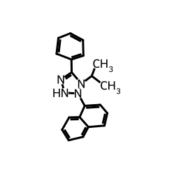 CC(C)N1C(c2ccccc2)=NNN1c1cccc2ccccc12